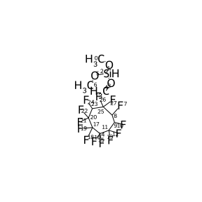 CO[SiH](OC)OC.FC1C(F)C(F)(F)C(F)(F)C(F)(F)C(F)(F)C(F)C1(F)F